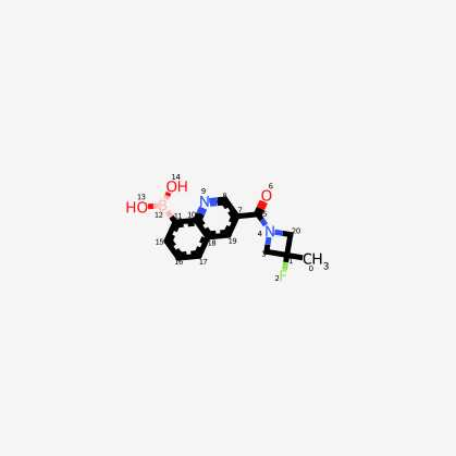 CC1(F)CN(C(=O)c2cnc3c(B(O)O)cccc3c2)C1